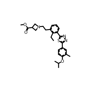 CCc1c(CCN2CC(C(=O)OC)C2)cccc1-c1nnc(-c2ccc(OC(C)C)c(C)c2)s1